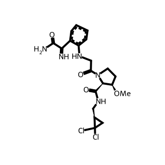 CO[C@@H]1CCN(C(=O)CNc2ccccc2C(=N)C(N)=O)[C@@H]1C(=O)NC[C@H]1CC1(Cl)Cl